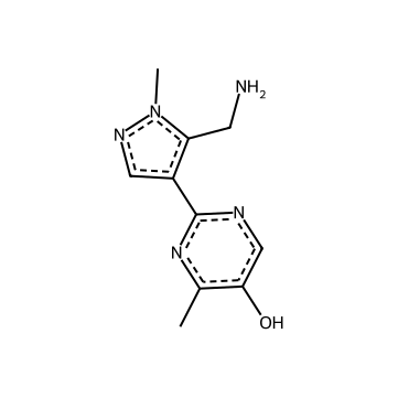 Cc1nc(-c2cnn(C)c2CN)ncc1O